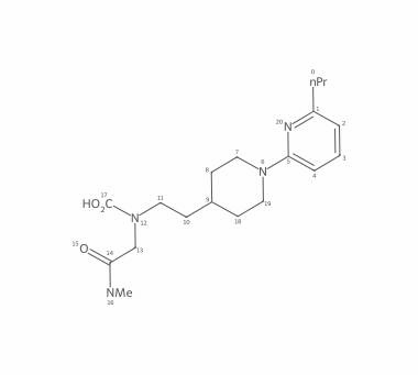 CCCc1cccc(N2CCC(CCN(CC(=O)NC)C(=O)O)CC2)n1